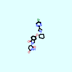 O=C1CC[C@@H](N2Cc3cc(O[C@H]4CCCC[C@H]4N4CC(c5ncc(Br)cn5)C4)ccc3C2=O)C(=O)N1